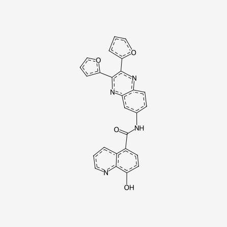 O=C(Nc1ccc2nc(-c3ccco3)c(-c3ccco3)nc2c1)c1ccc(O)c2ncccc12